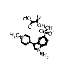 CN1CCC(c2cn(N)c3ccc(S(C)(=O)=O)cc23)CC1.O=C(O)C(=O)O